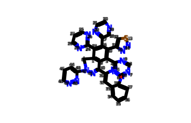 [CH]1c2c(c(-c3ncncn3)c(-c3csnn3)c(-c3cnccn3)c2-c2ncccn2)C(c2cc3ccccc3nn2)=NN1c1cccnn1